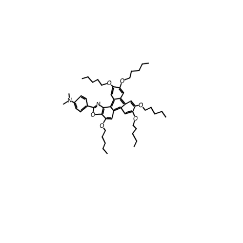 CCCCCOc1cc2c3cc(OCCCCC)c(OCCCCC)cc3c3c(cc(OCCCCC)c4oc(-c5ccc(N(C)C)cc5)nc43)c2cc1OCCCCC